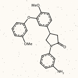 COc1cccc(Oc2cc(C3CC(=O)N(c4cccc(N)c4)C3)ccc2OC)c1